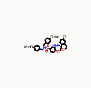 COc1ccc(CN(Cc2ccc(OC)cc2)S(=O)(=O)c2ccc3c(c2)NC[C@]2(CO3)OCCc3cc(Cl)ccc32)cc1